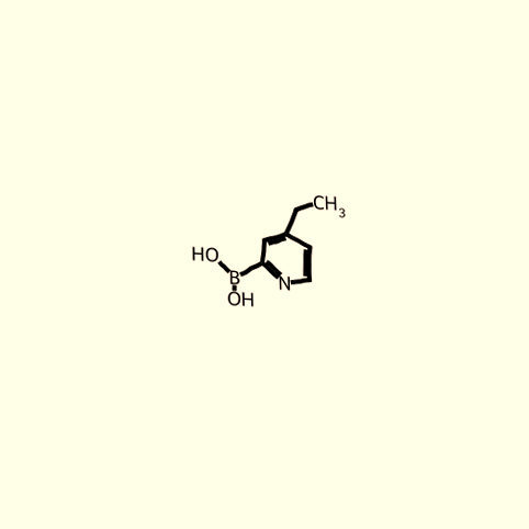 CCc1ccnc(B(O)O)c1